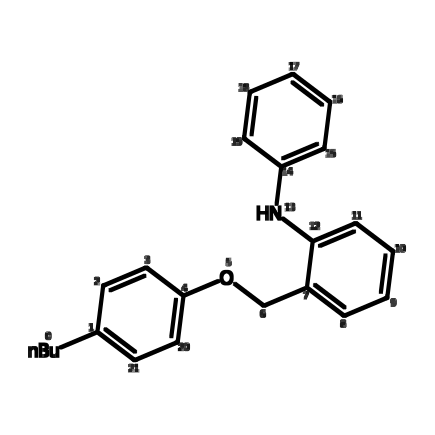 CCCCc1ccc(OCc2ccccc2Nc2ccccc2)cc1